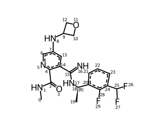 CNC(=O)c1ncc(NC2COC2)cc1C(=N)N[C@H](C)c1cccc(C(F)F)c1F